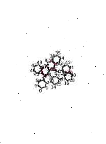 c1ccc(C(=C(c2ccccc2)c2cccc(-c3ccccc3)c2C(=C(c2ccccc2)c2ccccc2)c2ccccc2)c2ccccc2)cc1